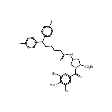 CCOC(=O)C1CC(NC(=O)CCCCC(c2ccc(F)cc2)c2ccc(F)cc2)CN1C(=O)c1cc(C(C)(C)C)c(OC)c(C(C)(C)C)c1